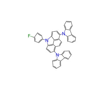 Fc1ccc(-n2c3ccc(-n4c5ccccc5c5ccccc54)c4ccc5c(-n6c7ccccc7c7ccccc76)ccc2c5c43)cc1